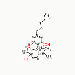 CCCCCc1cc(O)c2c(c1)O[C@H]1[C@@H]2[C@H](C(C)C)CC[C@]1(C)O